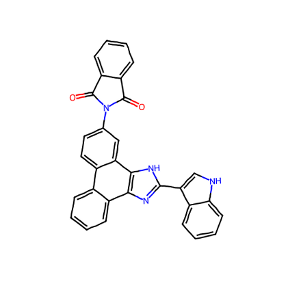 O=C1c2ccccc2C(=O)N1c1ccc2c3ccccc3c3nc(-c4c[nH]c5ccccc45)[nH]c3c2c1